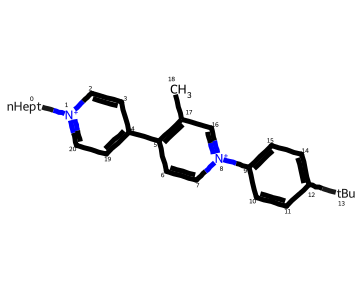 CCCCCCC[n+]1ccc(-c2cc[n+](-c3ccc(C(C)(C)C)cc3)cc2C)cc1